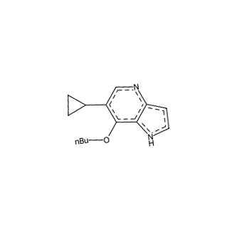 CCCCOc1c(C2CC2)cnc2cc[nH]c12